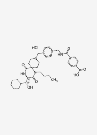 CCCCN1C(=O)[C@@H]([C@H](O)C2CCCCC2)NC(=O)C12CCN(Cc1ccc(CNC(=O)c3ccc(C(=O)O)cc3)cc1)CC2.Cl